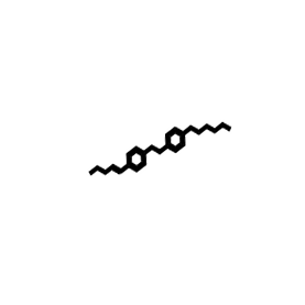 CCCC=Cc1ccc(CCc2ccc(CCCCCC)cc2)cc1